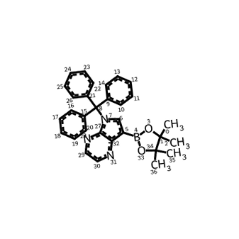 CC1(C)OB(c2cn(C(c3ccccc3)(c3ccccc3)c3ccccc3)c3nccnc23)OC1(C)C